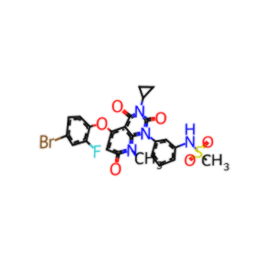 Cn1c(=O)cc(Oc2ccc(Br)cc2F)c2c(=O)n(C3CC3)c(=O)n(-c3cccc(NS(C)(=O)=O)c3)c21